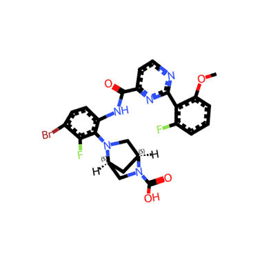 COc1cccc(F)c1-c1nccc(C(=O)Nc2ccc(Br)c(F)c2N2C[C@@H]3C[C@H]2CN3C(=O)O)n1